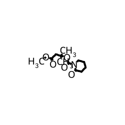 COC(=O)CC(C)(C)OC(=O)N1CCCCC1=O